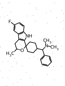 CC1Cc2c([nH]c3ccc(F)cc23)C2(CCC(C(c3ccccc3)N(C)C)CC2)O1